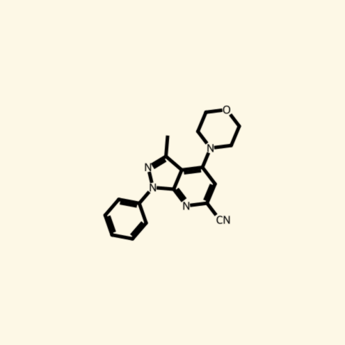 Cc1nn(-c2ccccc2)c2nc(C#N)cc(N3CCOCC3)c12